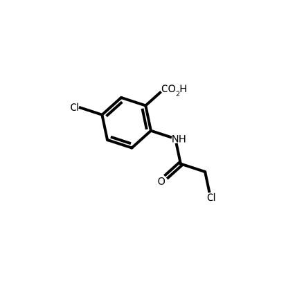 O=C(CCl)Nc1ccc(Cl)cc1C(=O)O